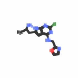 CC(N)Cc1cc2c(NCc3ncco3)nc(Cl)nc2[nH]1